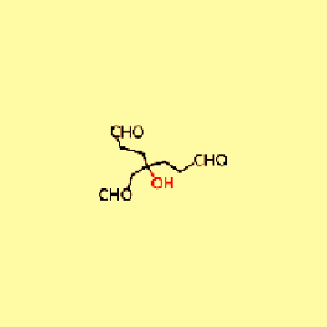 O=CCCC(O)(CC=O)CCC=O